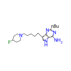 CCCCc1nc(N)c2[nH]cc(CCCCCN3CCC(F)CC3)c2n1